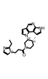 CCc1nccn1CCC(=O)N1CC[C@@H](C)[C@@H](n2ccc3cnc4[nH]ccc4c32)C1